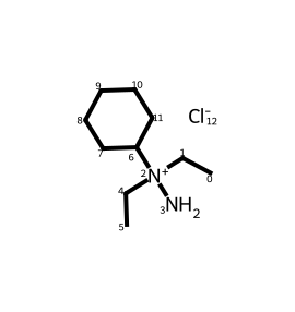 CC[N+](N)(CC)C1CCCCC1.[Cl-]